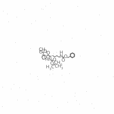 COC(=O)[C@@H]1CCCN1C(=O)[C@H](CCCCNC(=O)OCc1ccccc1)NC(=O)OC(C)(C)C